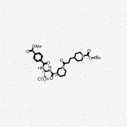 COC(=O)c1ccc(C(=O)N[C@@H](CC(=O)O)NC(=O)[C@@H]2CCCN(C(=O)CCC3CCN(C(=O)OC(C)(C)C)CC3)C2)cc1